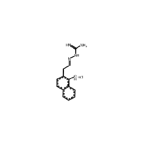 Cl.N=C(N)NN=CCc1ccc2ccccc2c1O